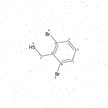 SCc1c(Br)cccc1Br